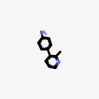 Cc1ncccc1-c1ccc(N)cc1